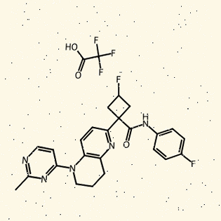 Cc1nccc(N2CCCc3nc(C4(C(=O)Nc5ccc(F)cc5)CC(F)C4)ccc32)n1.O=C(O)C(F)(F)F